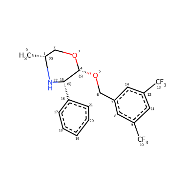 C[C@@H]1CO[C@H](OCc2cc(C(F)(F)F)cc(C(F)(F)F)c2)[C@H](c2ccccc2)N1